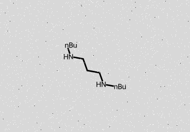 CCCCNCCCNCCCC